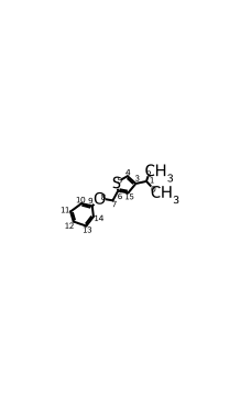 CC(C)c1csc(COc2ccccc2)c1